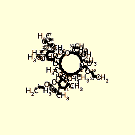 C=CCOC(=O)O[C@H]1[C@H](O[C@@H]2[C@@H](C)[C@H](O[C@H]3C[C@@](C)(OC)[C@@H](OS(=O)(=O)C=C)[C@H](C)O3)[C@@H](C)C(=O)O[C@H](CC)[C@@](C)(O)[C@H](O)[C@@H](C)N(C(=O)OCC=C)C[C@H](C)C[C@@]2(C)O)O[C@H](C)C[C@@H]1N(C)C